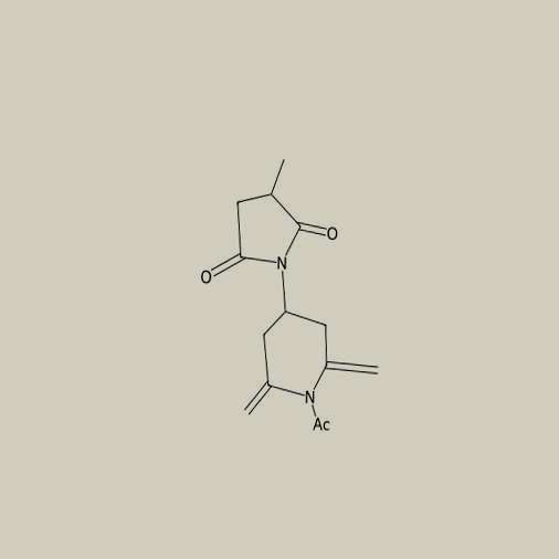 C=C1CC(N2C(=O)CC(C)C2=O)CC(=C)N1C(C)=O